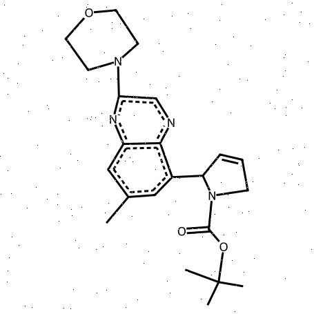 Cc1cc(C2C=CCN2C(=O)OC(C)(C)C)c2ncc(N3CCOCC3)nc2c1